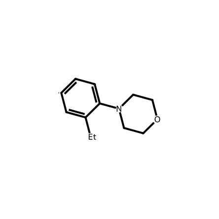 CCc1c[c]ccc1N1CCOCC1